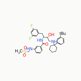 CC(C)(C)c1cccc(C2(NCC(O)C(Cc3cc(F)cc(F)c3)NC(=O)c3cccc(NCS(C)(=O)=O)c3)CCCCC2)c1